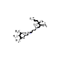 C=CCC(C)(C)C(C)/C=N/CC/C=N/CCSC(=C)C(C)C(=C)C